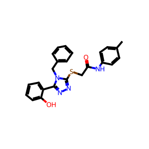 Cc1ccc(NC(=O)CSc2nnc(-c3ccccc3O)n2Cc2ccccc2)cc1